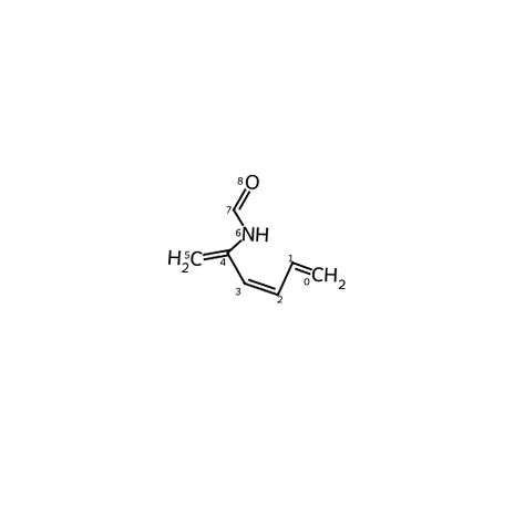 C=C/C=C\C(=C)NC=O